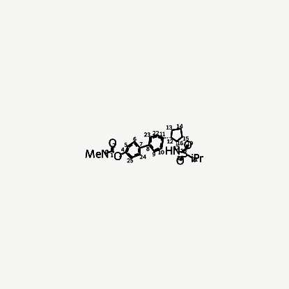 CNC(=O)Oc1ccc(-c2ccc([C@@H]3CCC[C@@H]3NS(=O)(=O)C(C)C)cc2)cc1